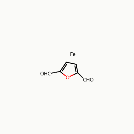 O=Cc1ccc(C=O)o1.[Fe]